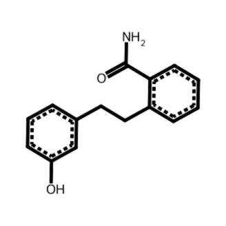 NC(=O)c1ccccc1CCc1cccc(O)c1